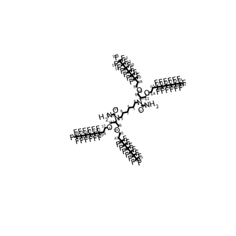 NC(=O)N(CCCCCCN(C(N)=O)C(COCCC(F)(F)C(F)(F)C(F)(F)C(F)(F)C(F)(F)C(F)(F)F)COCCC(F)(F)C(F)(F)C(F)(F)C(F)(F)C(F)(F)C(F)(F)F)C(COCCC(F)(F)C(F)(F)C(F)(F)C(F)(F)C(F)(F)C(F)(F)F)COCCC(F)(F)C(F)(F)C(F)(F)C(F)(F)C(F)(F)C(F)(F)F